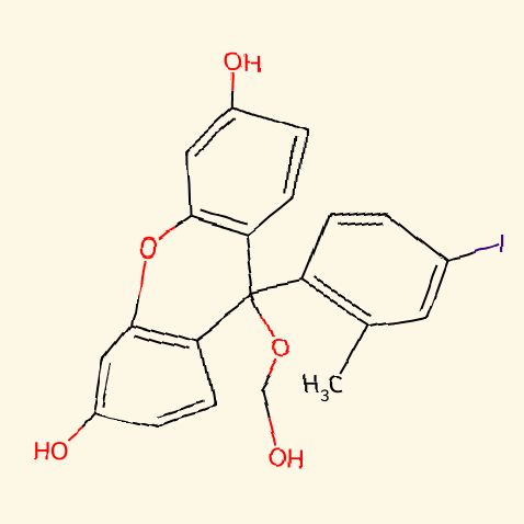 Cc1cc(I)ccc1C1(OCO)c2ccc(O)cc2Oc2cc(O)ccc21